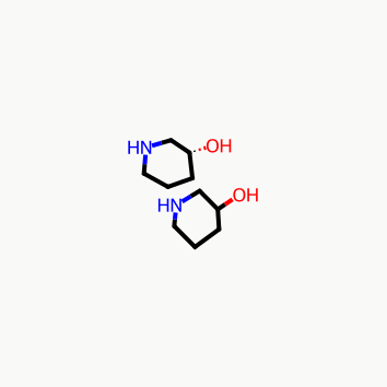 OC1CCCNC1.O[C@@H]1CCCNC1